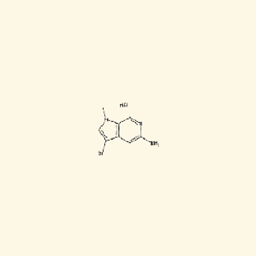 Cl.Cn1cc(Br)c2cc(N)ncc21